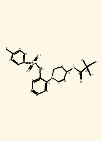 Cc1ccc(S(=O)(=O)Nc2ccccc2N2CCC(OC(=O)C(C)(C)C)CC2)cc1